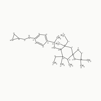 CCC1(C)CC2(OCC(C)(C)O2)C(C)C(C)(CC)N1OC(C)c1ccc(OCC2CO2)cc1